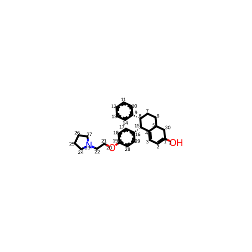 OC1=CC=C2C(CC[C@@H](c3ccccc3)[C@H]2c2ccc(OCCN3CCCC3)cc2)C1